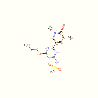 CCCS(=O)(=O)Nc1nc(OCCC(F)(F)F)nc(-c2cc(C)c(=O)n(C)c2)n1